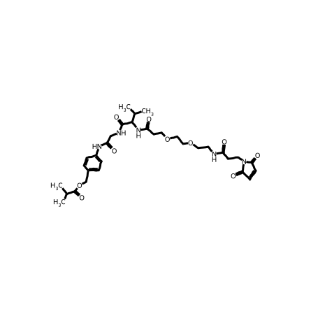 CC(C)C(=O)OCc1ccc(NC(=O)CNC(=O)C(NC(=O)CCOCCOCCNC(=O)CCN2C(=O)C=CC2=O)C(C)C)cc1